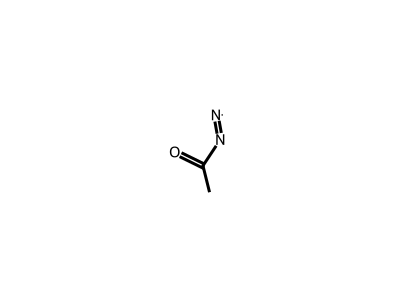 CC(=O)N=[N]